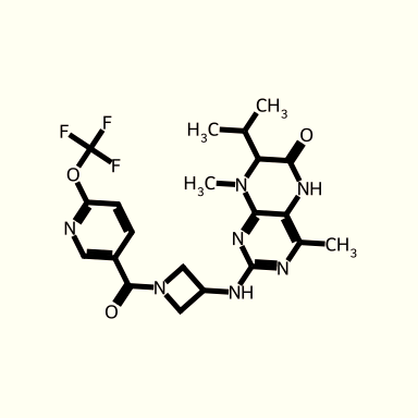 Cc1nc(NC2CN(C(=O)c3ccc(OC(F)(F)F)nc3)C2)nc2c1NC(=O)C(C(C)C)N2C